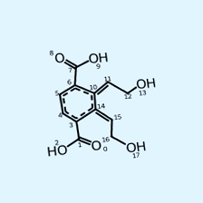 O=C(O)c1ccc(C(=O)O)c(=CCO)c1=CCO